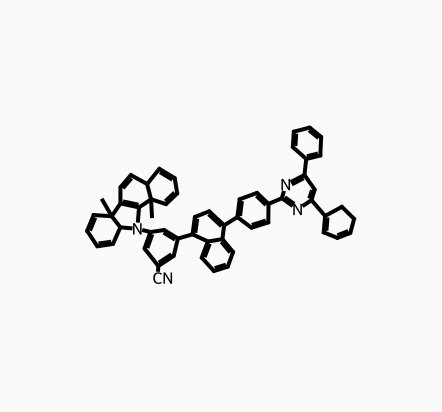 CC12C=CC=CC1C=CC1=C2N(c2cc(C#N)cc(-c3ccc(-c4ccc(-c5nc(C6=CC=CCC6)cc(-c6ccccc6)n5)cc4)c4ccccc34)c2)C2C=CC=CC12C